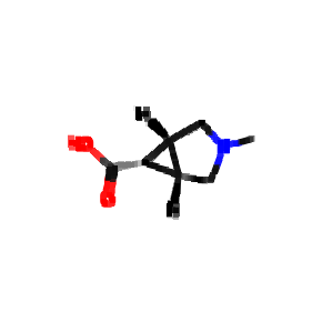 CN1C[C@@H]2[C@H](C1)[C@@H]2C(=O)O